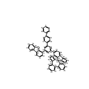 c1ccc(-c2ccc(-c3cc(-c4cccc5c4oc4ccccc45)nc(-c4ccc5c(c4)C4(c6ccccc6-c6ccccc6-c6ccccc64)c4ccccc4-5)n3)cc2)cc1